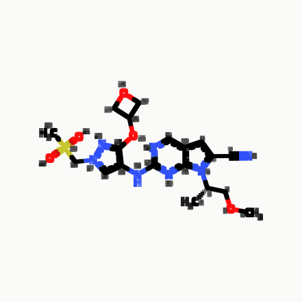 COC[C@H](C)n1c(C#N)cc2cnc(Nc3cn(CS(C)(=O)=O)nc3OC3COC3)nc21